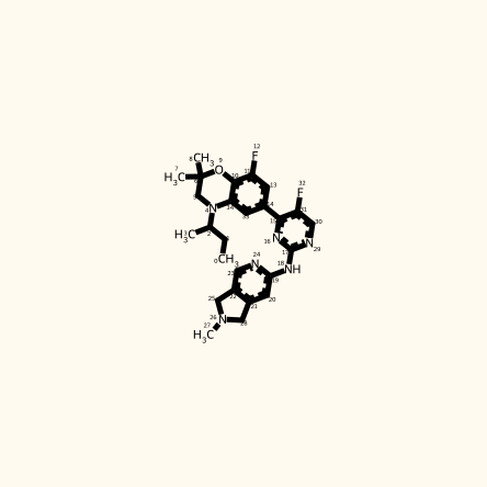 CCC(C)N1CC(C)(C)Oc2c(F)cc(-c3nc(Nc4cc5c(cn4)CN(C)C5)ncc3F)cc21